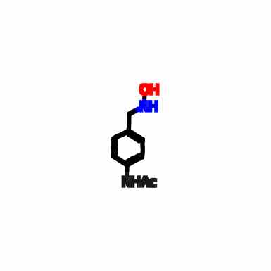 CC(=O)Nc1ccc(CNO)cc1